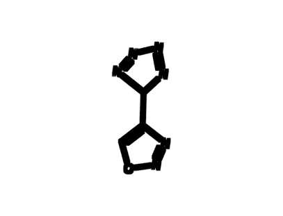 c1onnc1C1N=NN=N1